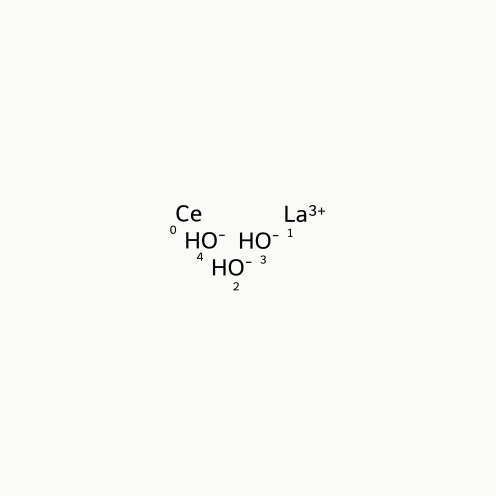 [Ce].[La+3].[OH-].[OH-].[OH-]